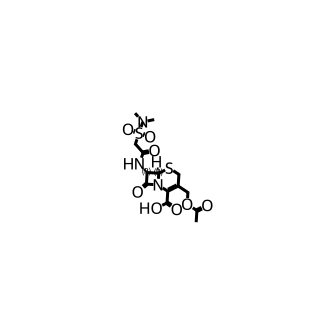 CC(=O)OCC1=C(C(=O)O)N2C(=O)[C@@H](NC(=O)CS(=O)(=O)N(C)C)[C@H]2SC1